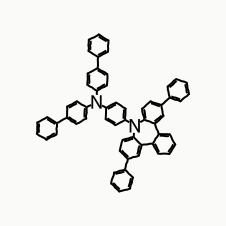 c1ccc(-c2ccc(N(c3ccc(-c4ccccc4)cc3)c3ccc(N4c5ccc(-c6ccccc6)cc5-c5ccccc5-c5cc(-c6ccccc6)ccc54)cc3)cc2)cc1